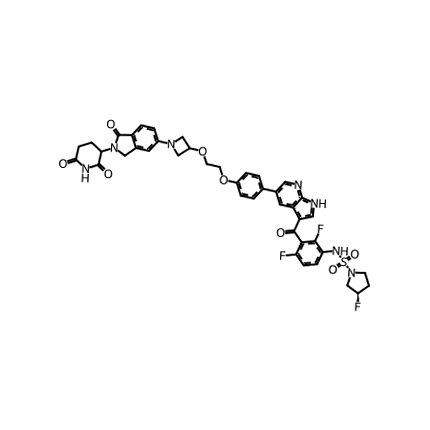 O=C1CCC(N2Cc3cc(N4CC(OCCOc5ccc(-c6cnc7[nH]cc(C(=O)c8c(F)ccc(NS(=O)(=O)N9CC[C@@H](F)C9)c8F)c7c6)cc5)C4)ccc3C2=O)C(=O)N1